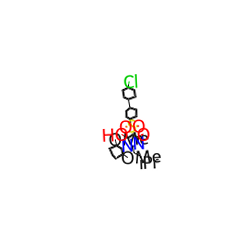 COc1cccc(OC)c1-n1c(CCC(C)C)nc(=O)c(S(=O)(=O)c2ccc(-c3ccc(Cl)cc3)cc2)c1O